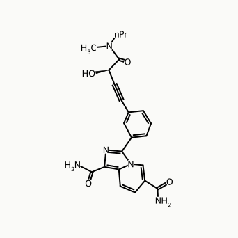 CCCN(C)C(=O)[C@H](O)C#Cc1cccc(-c2nc(C(N)=O)c3ccc(C(N)=O)cn23)c1